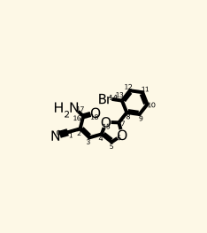 N#CC(=CC1=COC(c2ccccc2Br)O1)C(N)=O